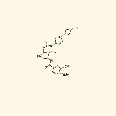 COc1ccc(C(=O)NC2CNN3C=C(C)N(c4ccc(C5CC(C(F)(F)F)C5)cc4)C(=O)C23)cc1C#N